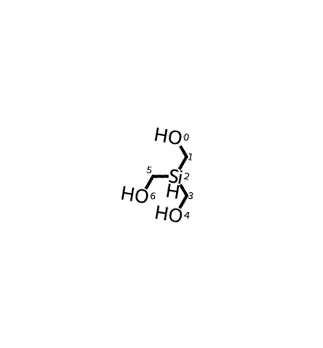 OC[SiH](CO)CO